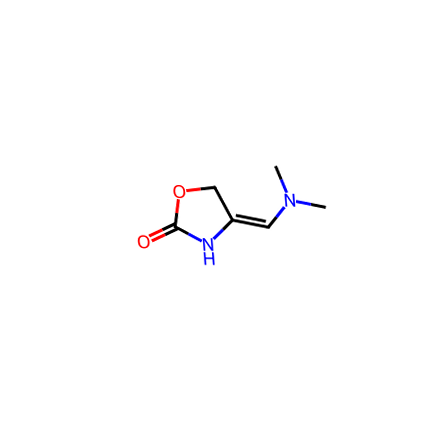 CN(C)/C=C1\COC(=O)N1